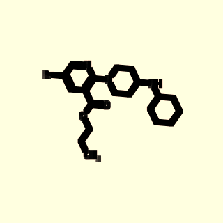 CCCOC(=O)c1cc(Br)cnc1N1CCC(NC2CCCCC2)CC1